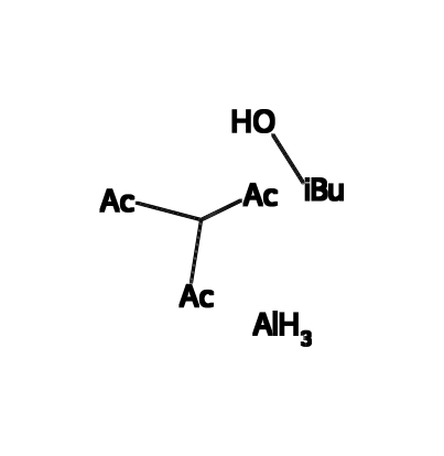 CC(=O)C(C(C)=O)C(C)=O.CCC(C)O.[AlH3]